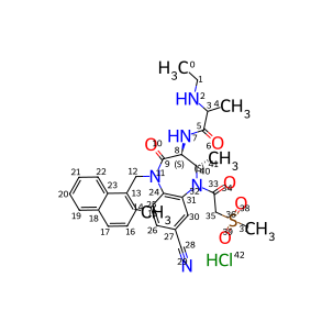 CCNC(C)C(=O)N[C@@H]1C(=O)N(Cc2c(C)ccc3ccccc23)c2ccc(C#N)cc2N(C(=O)CS(C)(=O)=O)[C@H]1C.Cl